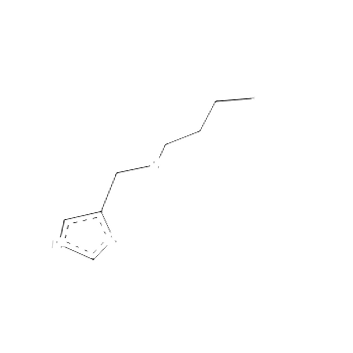 OCCCNCc1c[nH]cn1